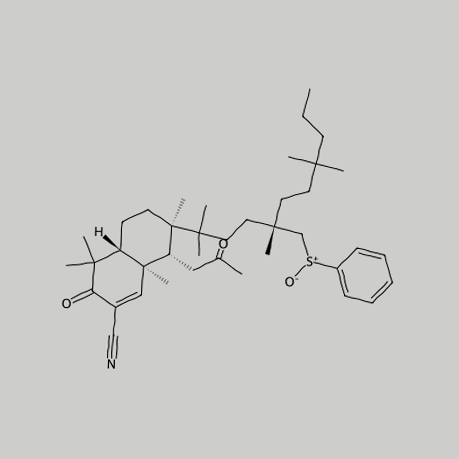 CCCC(C)(C)CC[C@@](C)(CCC(C)(C)[C@]1(C)CC[C@H]2C(C)(C)C(=O)C(C#N)=C[C@]2(C)[C@H]1CC(C)=O)C[S+]([O-])c1ccccc1